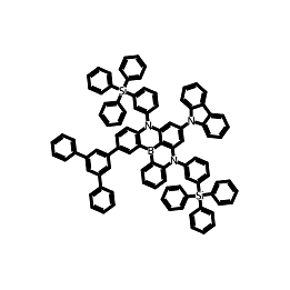 c1ccc(-c2cc(-c3ccccc3)cc(-c3ccc4c(c3)B3c5ccccc5N(c5cccc([Si](c6ccccc6)(c6ccccc6)c6ccccc6)c5)c5cc(-n6c7ccccc7c7ccccc76)cc(c53)N4c3cccc([Si](c4ccccc4)(c4ccccc4)c4ccccc4)c3)c2)cc1